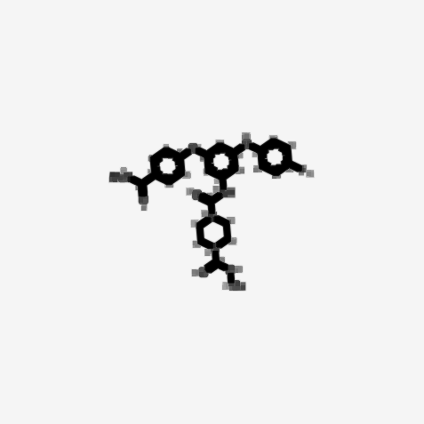 CNC(=O)c1ccc(Oc2cc(NC(=O)N3CCN(C(=O)OC(C)(C)C)CC3)cc(Oc3ccc(F)cc3)c2)cc1